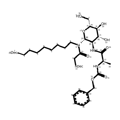 CCCCCCCCCCCCCCCCCCN(C(=O)CCCCCCCCCCC)[C@@H]1O[C@H](CO)[C@@H](O)[C@H](O)[C@H]1NC(=O)[C@@H](C)NC(=O)OCc1ccccc1